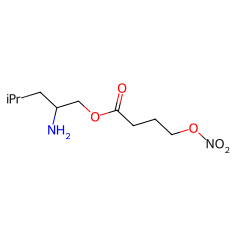 CC(C)CC(N)COC(=O)CCCO[N+](=O)[O-]